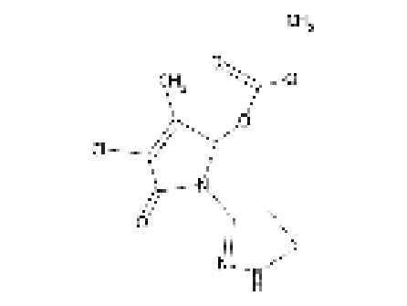 COC(=O)OC1C(C)=C(Cl)C(=O)N1C1=NNCC1